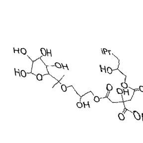 COC(=O)C(O)(CC(=O)OCC(O)COC(C)(C)C1OC(O)C(O)C(O)C1O)CC(=O)OCC(O)CC(C)C